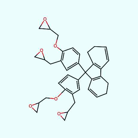 C1=CC2=C(CC1)C1=C(CCC=C1)C2(c1ccc(OCC2CO2)c(CC2CO2)c1)c1ccc(OCC2CO2)c(CC2CO2)c1